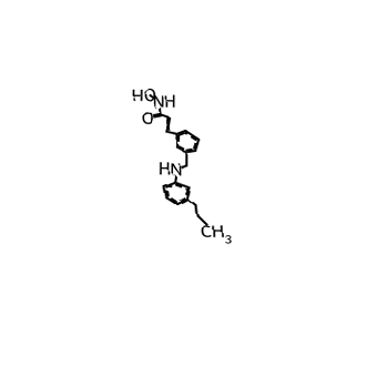 CCCCc1cccc(NCc2cccc(/C=C/C(=O)NO)c2)c1